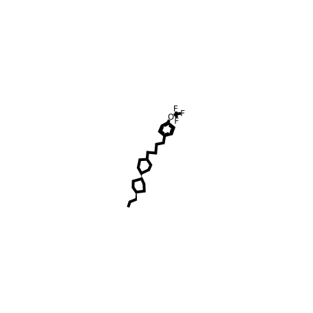 CCC[C@H]1CC[C@H](C2CCC(CCCCc3ccc(OC(F)(F)F)cc3)CC2)CC1